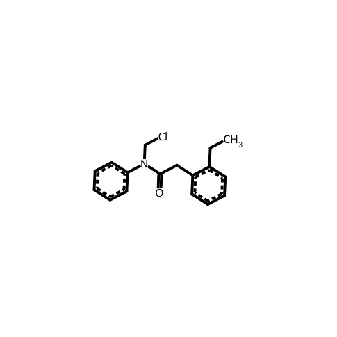 CCc1ccccc1CC(=O)N(CCl)c1ccccc1